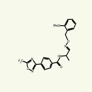 COc1ccccc1CON=CC(C)NC(=O)c1ccc(-c2noc(C(F)(F)F)n2)cc1